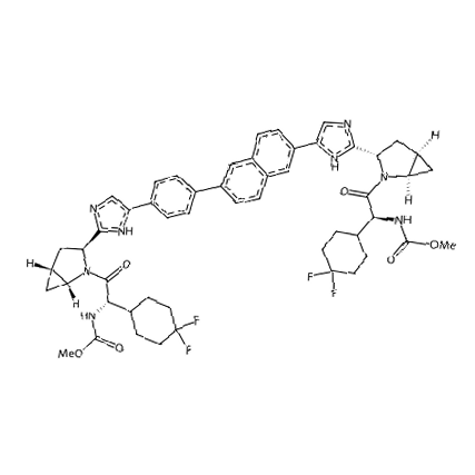 COC(=O)N[C@H](C(=O)N1[C@@H]2C[C@@H]2C[C@H]1c1ncc(-c2ccc(-c3ccc4cc(-c5cnc([C@@H]6C[C@H]7C[C@H]7N6C(=O)[C@@H](NC(=O)OC)C6CCC(F)(F)CC6)[nH]5)ccc4c3)cc2)[nH]1)C1CCC(F)(F)CC1